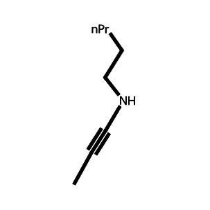 CC#CNCCCCC